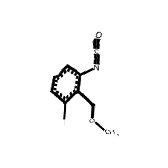 COCc1c(I)cccc1N=C=O